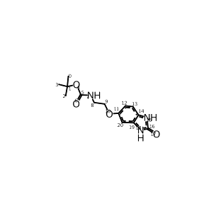 CC(C)(C)OC(=O)NCCOc1ccc2[nH]c(=O)[nH]c2c1